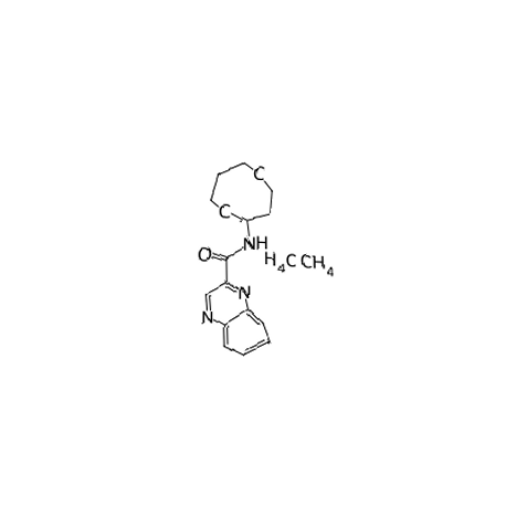 C.C.O=C(N[C]1CCCCCCC1)c1cnc2ccccc2n1